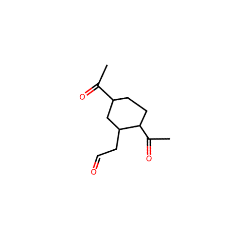 CC(=O)C1CCC(C(C)=O)C(CC=O)C1